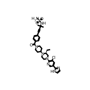 CC[C@H]1CN(c2ncc(-c3ncc[nH]3)cc2Cl)CCN1C1CCN(C(=O)c2ccc(C#CC(C)(C)NS(N)(=O)=O)cc2)CC1